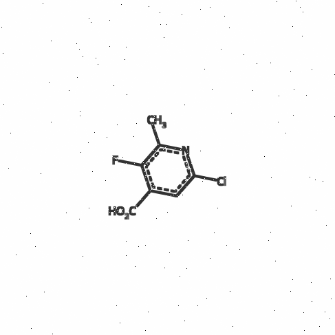 Cc1nc(Cl)cc(C(=O)O)c1F